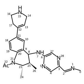 C/N=C/c1cnc(NC2c3cc(C4=CCNCC4)ccc3N(C(C)=O)[C@@H](C)[C@@H]2C)cn1